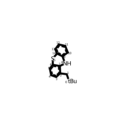 CC(C)(C)Cc1cccc2c1Nc1ccccc1S2